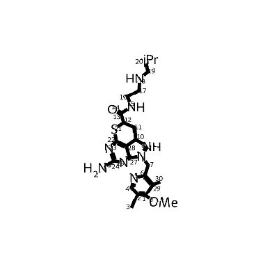 COc1c(C)cnc(CN2NC3CC(C(=O)NCCNCC(C)C)Sc4nc(N)nc2c43)c1C